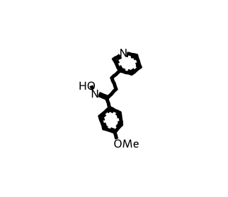 COc1ccc(C(CCc2cccnc2)=NO)cc1